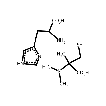 CN(C)C(C)(CS)C(=O)O.NC(Cc1c[nH]cn1)C(=O)O